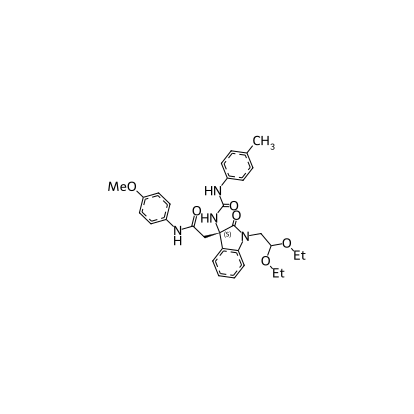 CCOC(CN1C(=O)[C@@](CC(=O)Nc2ccc(OC)cc2)(NC(=O)Nc2ccc(C)cc2)c2ccccc21)OCC